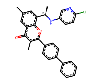 Cc1cc([C@@H](C)Nc2ccc(Cl)nc2)c2oc(-c3ccc(-c4ccccc4)cc3)c(C)c(=O)c2c1